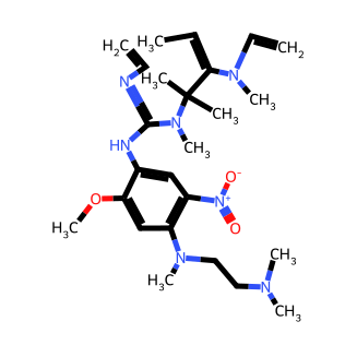 C=C/N=C(/Nc1cc([N+](=O)[O-])c(N(C)CCN(C)C)cc1OC)N(C)C(C)(C)/C(=C\C)N(C)C=C